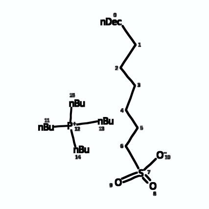 CCCCCCCCCCCCCCCCS(=O)(=O)[O-].CCCC[P+](CCCC)(CCCC)CCCC